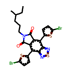 CCC(C)CCCN1C(=O)c2c(c(-c3ccc(Br)s3)c3nsnc3c2-c2ccc(Br)s2)C1=O